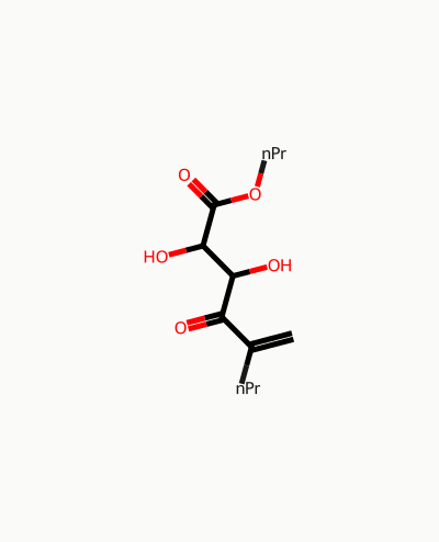 C=C(CCC)C(=O)C(O)C(O)C(=O)OCCC